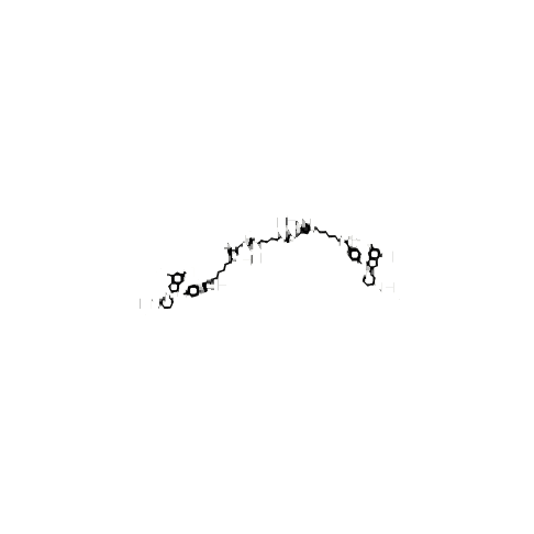 N[C@@H]1CCCN(C2Cc3c(Cl)cc(Cl)cc3[C@@H]2Oc2ccc(S(=O)(=O)NCCCCCCn3cc(CNC(=O)NCCCCNC(=O)NCc4cn(CCCCCCNS(=O)(=O)c5ccc(O[C@H]6c7cc(Cl)cc(Cl)c7C[C@@H]6N6CCC[C@@H](N)C6)cc5)nn4)nn3)cc2)C1